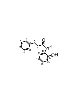 CN(C(=O)CCc1ccccc1)c1ccccc1O